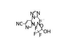 C[C@H](N)c1ncnn1-c1cc(C#N)ncn1.O=C(O)C(F)(F)F